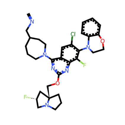 C=NCC1CCCN(c2nc(OC[C@@]34CCCN3C[C@H](F)C4)nc3c(F)c(N4CCOc5ccccc54)c(Cl)cc23)CC1